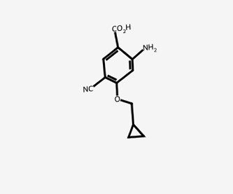 N#Cc1cc(C(=O)O)c(N)cc1OCC1CC1